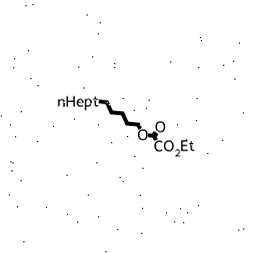 CCCCCCCCCCCCOC(=O)C(=O)OCC